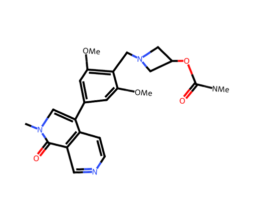 CNC(=O)OC1CN(Cc2c(OC)cc(-c3cn(C)c(=O)c4cnccc34)cc2OC)C1